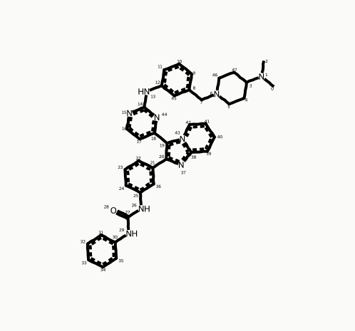 CN(C)C1CCN(Cc2cccc(Nc3nccc(-c4c(-c5cccc(NC(=O)Nc6ccccc6)c5)nc5ccccn45)n3)c2)CC1